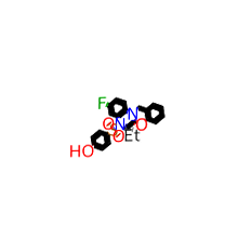 CC[C@H]1C(=O)N(Cc2ccccc2)c2ccc(F)cc2N1S(=O)(=O)c1ccc(O)cc1